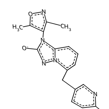 Cc1noc(C)c1-n1c([O-])n[n+]2c(Cc3ccc(Cl)nc3)cccc12